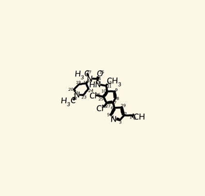 C#Cc1cncc(-c2ccc(C(C)NC(=O)N(C)C3CCN(C)CC3)c(Cl)c2Cl)c1